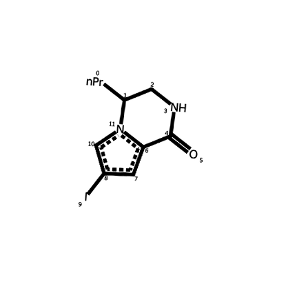 CCCC1CNC(=O)c2cc(I)cn21